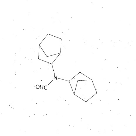 O=[C]N(C1CC2CCC1C2)C1CC2CCC1C2